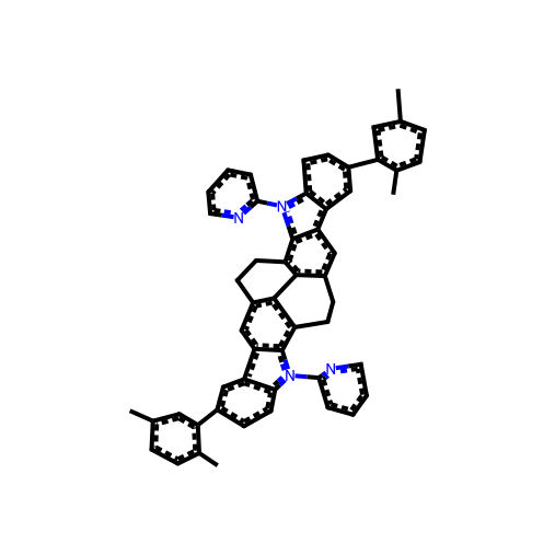 Cc1ccc(C)c(-c2ccc3c(c2)c2cc4c5c(c2n3-c2ccccn2)CCc2cc3c6cc(-c7cc(C)ccc7C)ccc6n(-c6ccccn6)c3c(c2-5)CC4)c1